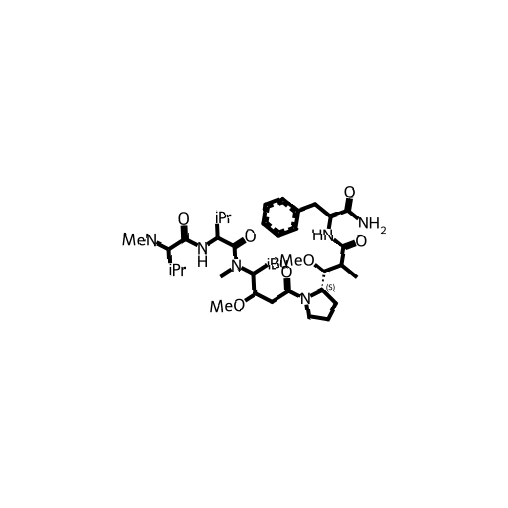 CCC(C)C(C(CC(=O)N1CCC[C@H]1C(OC)C(C)C(=O)NC(Cc1ccccc1)C(N)=O)OC)N(C)C(=O)C(NC(=O)C(NC)C(C)C)C(C)C